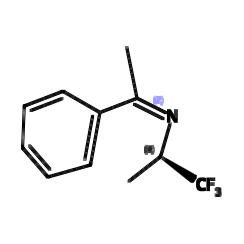 C/C(=N/[C@H](C)C(F)(F)F)c1ccccc1